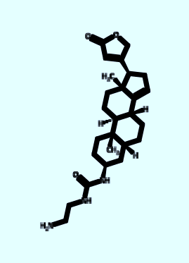 C[C@]12CC[C@H](NC(=O)NCCN)C[C@H]1CC[C@H]1C3=CC[C@H](C4=CC(=O)OC4)[C@@]3(C)CC[C@@H]12